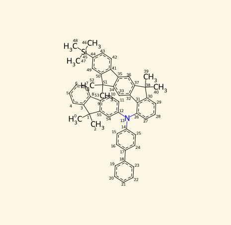 CC1(C)c2ccccc2-c2ccc(N(c3ccc(-c4ccccc4)cc3)c3cccc4c3-c3cc5c(cc3C4(C)C)-c3ccc([Si](C)(C)C)cc3C5(C)C)cc21